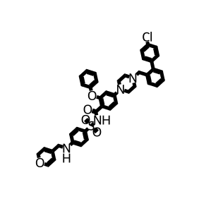 O=C(NS(=O)(=O)c1ccc(NCC2=CCOC=C2)cc1)c1ccc(N2CCN(Cc3ccccc3-c3ccc(Cl)cc3)CC2)cc1Oc1ccccc1